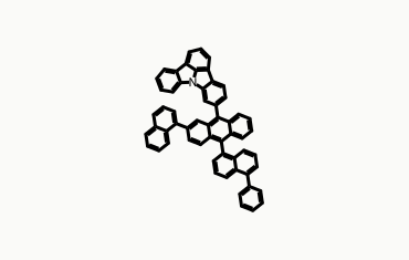 c1ccc(-c2cccc3c(-c4c5ccccc5c(-c5ccc6c7cccc8c9ccccc9n(c6c5)c87)c5cc(-c6cccc7ccccc67)ccc45)cccc23)cc1